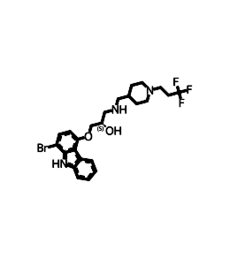 O[C@@H](CNCC1CCN(CCC(F)(F)F)CC1)COc1ccc(Br)c2[nH]c3ccccc3c12